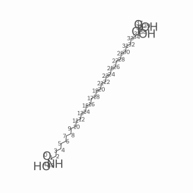 O=C(CCCCCCCCCCCCCCCCCCCCCCCCCCCCCCCCCOP(=O)(O)O)NO